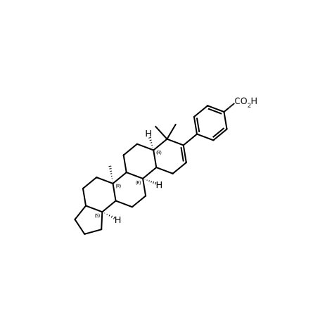 CC1(C)C(c2ccc(C(=O)O)cc2)=CCC2[C@H]3CCC4[C@H]5CCCC5CC[C@@]4(C)C3CC[C@H]21